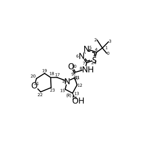 CC(C)(C)c1nnc(NC(=O)[C@@H]2C[C@@H](O)CN2CC2CCOCC2)s1